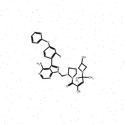 CC(C)(/C=C(/C#N)C(=O)N1CCC[C@@H]1Cn1nc(-c2ccc(Oc3ccccc3)cc2F)c2c(N)ncnc21)N1CC(O)C1